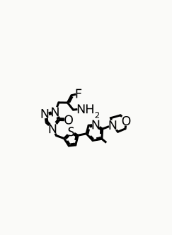 Cc1cc(-c2ccc(Cn3cnn(C/C(=C/F)CN)c3=O)s2)cnc1N1CCOCC1